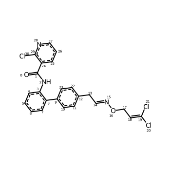 O=C(Nc1ccccc1-c1ccc(CC=NOCC=C(Cl)Cl)cc1)c1cccnc1Cl